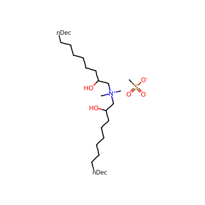 CCCCCCCCCCCCCCCCC(O)C[N+](C)(C)CC(O)CCCCCCCCCCCCCCCC.CS(=O)(=O)[O-]